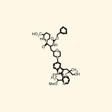 CCn1c(-c2cccnc2[C@H](C)OC)c(CC(C)(C)CO)c2cc(N3CCOC(CC(NC(=O)OCc4ccccc4)C(=O)N4CCCC(C(=O)O)N4)C3)ccc21